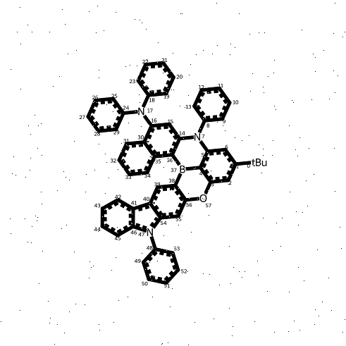 CC(C)(C)c1cc2c3c(c1)N(c1ccccc1)c1cc(N(c4ccccc4)c4ccccc4)c4ccccc4c1B3c1cc3c4ccccc4n(-c4ccccc4)c3cc1O2